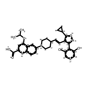 CC(C)Oc1cc(C(=O)O)nc2ccc(N3CCC(/C=C/c4c(-c5c(Cl)cncc5Cl)noc4C4CC4)CC3)cc12